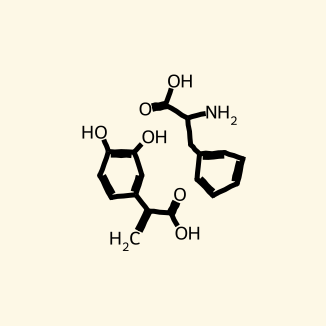 C=C(C(=O)O)c1ccc(O)c(O)c1.NC(Cc1ccccc1)C(=O)O